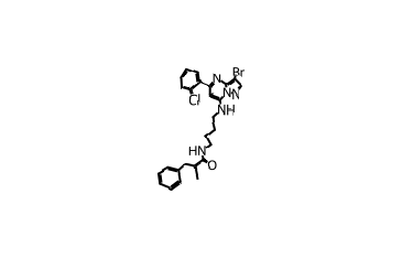 CC(Cc1ccccc1)C(=O)NCCCCNc1cc(-c2ccccc2Cl)nc2c(Br)cnn12